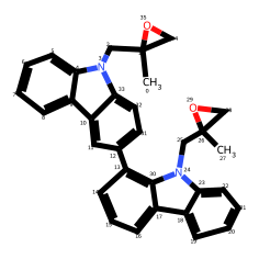 CC1(Cn2c3ccccc3c3cc(-c4cccc5c6ccccc6n(CC6(C)CO6)c45)ccc32)CO1